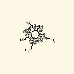 CCCCOP(=O)(O)C(N1CCN(C(P(=O)(O)O)P(=O)(O)OCCCC)CCN(C(P(=O)(O)O)P(=O)(O)OCCCC)CCN(C(P(=O)(O)O)P(=O)(O)OCCCC)CC1)P(=O)(O)O